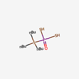 CCCCS(CCCC)(CCCC)P(=O)(S)S